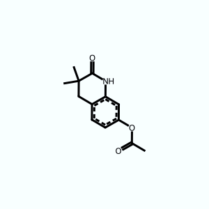 CC(=O)Oc1ccc2c(c1)NC(=O)C(C)(C)C2